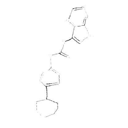 O=C(Nc1ccc(C2CCOCC2)cn1)Nc1c[nH]c2cccnc12